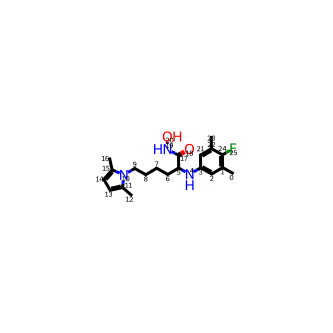 Cc1cc(NC(CCCCn2c(C)ccc2C)C(=O)NO)cc(C)c1F